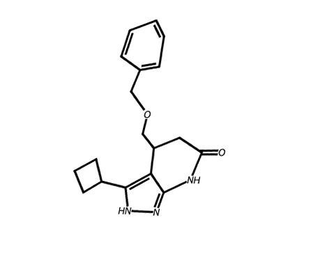 O=C1CC(COCc2ccccc2)c2c(n[nH]c2C2CCC2)N1